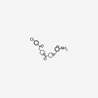 Nc1cc(CN2CCC(C(=O)N3CCC(CC(=O)c4ccc(Cl)cc4)CC3)CC2)ccn1